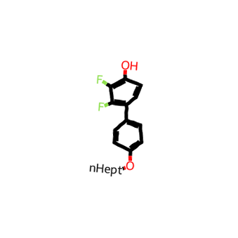 CCCCCCCOc1ccc(-c2ccc(O)c(F)c2F)cc1